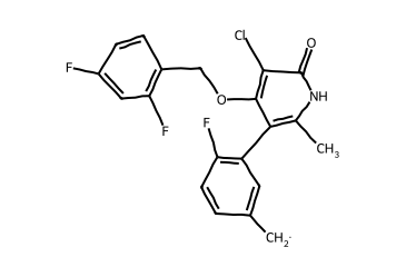 [CH2]c1ccc(F)c(-c2c(C)[nH]c(=O)c(Cl)c2OCc2ccc(F)cc2F)c1